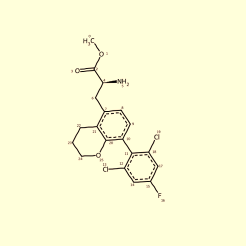 COC(=O)[C@@H](N)Cc1ccc(-c2c(Cl)cc(F)cc2Cl)c2c1CCCO2